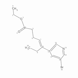 CCOC(=O)CC/C=C(\CC)c1cncc(Br)c1